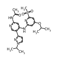 CC(=O)Nc1cc(Nc2cc(OC(C)C)cc(S(C)(=O)=O)n2)c(-c2ccn(C(C)C)n2)cn1